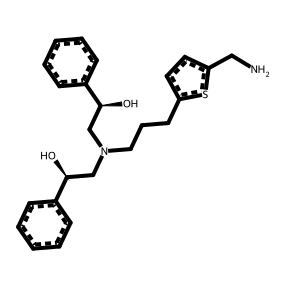 NCc1ccc(CCCN(C[C@H](O)c2ccccc2)C[C@H](O)c2ccccc2)s1